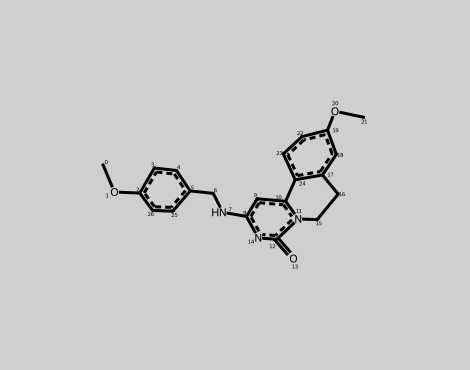 COc1ccc(CNc2cc3n(c(=O)n2)CCc2cc(OC)ccc2-3)cc1